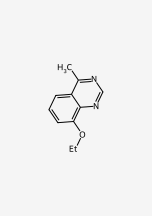 CCOc1cccc2c(C)ncnc12